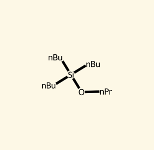 C[CH]CO[Si](CCCC)(CCCC)CCCC